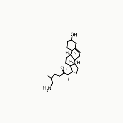 CC(CN)CCC(=O)[C@@H](C)[C@H]1CC[C@H]2[C@@H]3CC=C4CC(O)CC[C@]4(C)[C@H]3CC[C@]12C